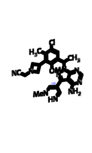 CN/C=C(\C=N)c1nn(C(C)c2cc(Cl)c(C)c(C3CN(CC#N)C3)c2OC)c2ncnc(N)c12